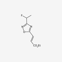 CCOC(=O)C=Cc1nc(C(C)F)no1